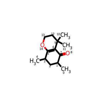 CC1CC(C)C2=C(C1=O)C(C)(C)CCO2